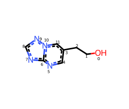 OCCc1cnc2ncnn2c1